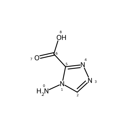 Nn1cnnc1C(=O)O